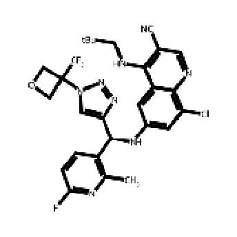 Cc1nc(F)ccc1[C@H](Nc1cc(Cl)c2ncc(C#N)c(NCC(C)(C)C)c2c1)c1cn(C2(C(F)(F)F)COC2)nn1